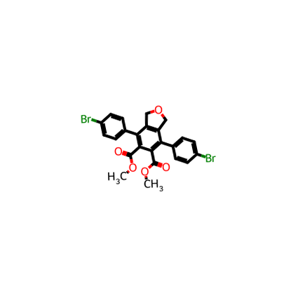 COC(=O)c1c(C(=O)OC)c(-c2ccc(Br)cc2)c2c(c1-c1ccc(Br)cc1)COC2